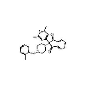 Cc1cc(C2(N3CCN(Cc4ccccc4C)CC3)C(=O)c3ccccc3C2=O)cc(C)n1